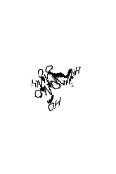 N[C@@H](Cc1c[nH]cn1)C(=O)n1c(=O)[nH]c(=O)n(CCO)c1=O